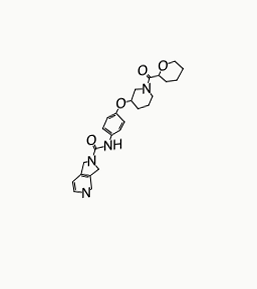 O=C(Nc1ccc(OC2CCCN(C(=O)C3CCCCO3)C2)cc1)N1Cc2ccncc2C1